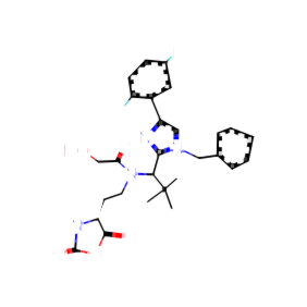 CC(C)(C)C(c1nc(-c2cc(F)ccc2F)cn1Cc1ccccc1)N(CC[C@@H]1NC(=O)OC1=O)C(=O)CO